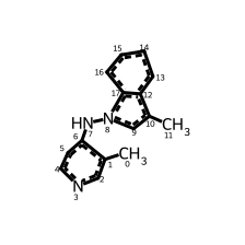 Cc1cnccc1Nn1cc(C)c2ccccc21